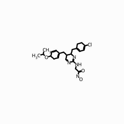 CC(C)OC1C=CC(CC2C=NC(NCC(=O)N=O)=NC2CC2=CC=C(Cl)CC2)=CC1